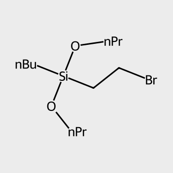 CCCC[Si](CCBr)(OCCC)OCCC